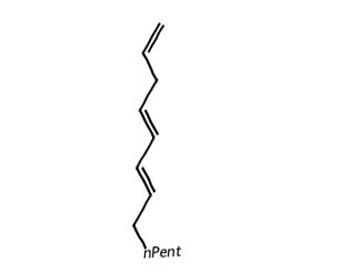 C=CCC=CC=CCCCCCC